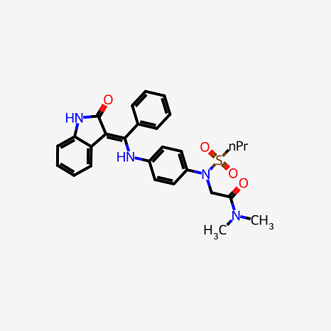 CCCS(=O)(=O)N(CC(=O)N(C)C)c1ccc(NC(=C2C(=O)Nc3ccccc32)c2ccccc2)cc1